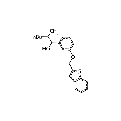 CCCCC(C)C(O)c1cccc(OCc2cc3ccccc3s2)c1